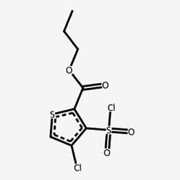 CCCOC(=O)c1scc(Cl)c1S(=O)(=O)Cl